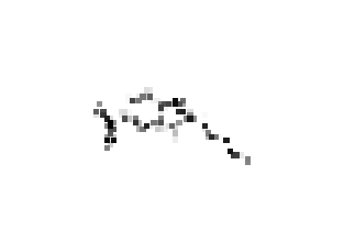 CCCCCc1nc2ccc([N+](=O)[O-])cc2[nH]1